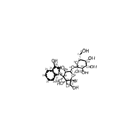 OC[C@H]1O[C@](O)(O[C@H]2O[C@](Br)(CO)[C@@](O)(Cl)[C@@](O)(n3cc(O)c4ccccc43)[C@H]2O)[C@H](O)[C@@H](O)[C@H]1O